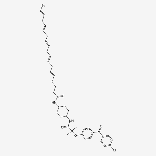 CCC=CCC=CCC=CCC=CCC=CCCCC(=O)NC1CCC(NC(=O)C(C)(C)Oc2ccc(C(=O)c3ccc(Cl)cc3)cc2)CC1